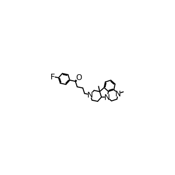 CN1CCN2c3c1cccc3C1(C)CN(CCCC(=O)c3ccc(F)cc3)CCC21